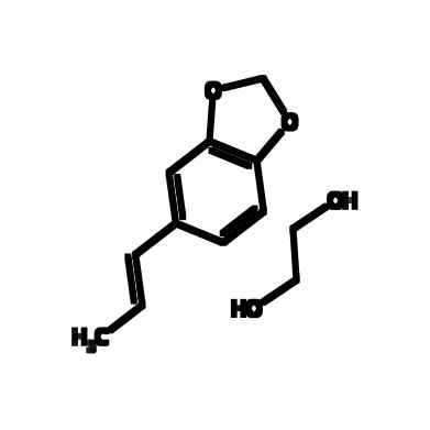 C/C=C/c1ccc2c(c1)OCO2.OCCO